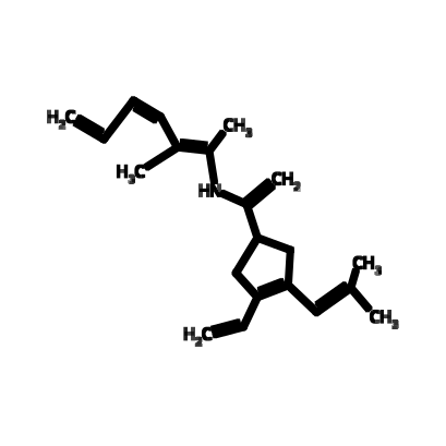 C=C/C=C\C(C)=C(/C)NC(=C)C1CC(C=C)=C(C=C(C)C)C1